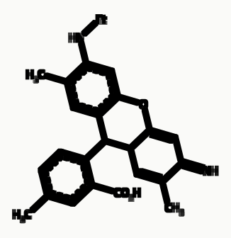 CCNc1cc2c(cc1C)C(c1ccc(C)cc1C(=O)O)C1C=C(C)C(=N)C=C1O2